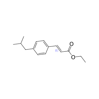 CCOC(=O)/C=C/c1ccc(CC(C)C)cc1